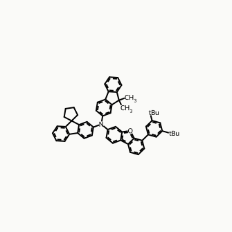 CC(C)(C)c1cc(-c2cccc3c2oc2cc(N(c4ccc5c(c4)C(C)(C)c4ccccc4-5)c4ccc5c(c4)C4(CCCC4)c4ccccc4-5)ccc23)cc(C(C)(C)C)c1